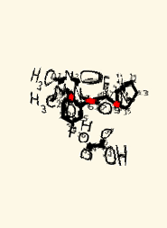 Cc1nc(=O)n(C[C@H](F)CN2C3CCC2CC(OCc2cccc(F)c2)C3)c(=O)n1C.O=C(O)C(=O)O